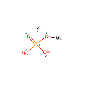 O=P(O)(O)[O][Ni].[Zr]